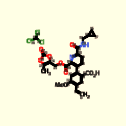 C=Cc1cc(C(=O)O)c(-c2ccc(C(=O)NCC3CC3)nc2C(=O)OCc2oc(=O)oc2C)cc1OC.ClC(Cl)Cl